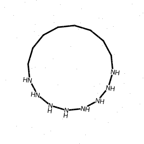 C1CCCCNNNNNNNNCCC1